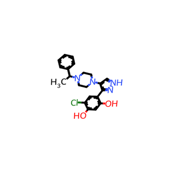 CC(c1ccccc1)N1CCN(c2c[nH]nc2-c2cc(Cl)c(O)cc2O)CC1